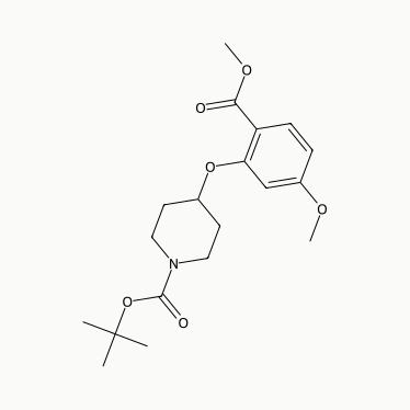 COC(=O)c1ccc(OC)cc1OC1CCN(C(=O)OC(C)(C)C)CC1